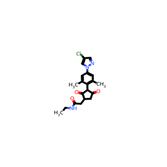 CCNC(=O)CC1CC(=O)C(c2c(C)cc(-n3cc(Cl)cn3)cc2C)C1=O